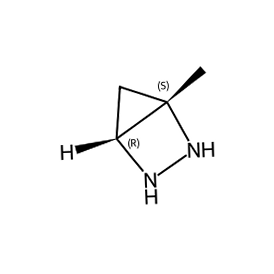 C[C@]12C[C@H]1NN2